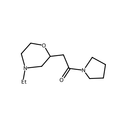 CCN1CCOC(CC(=O)N2CCCC2)C1